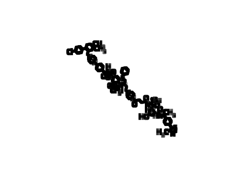 Cc1ncsc1-c1ccc([C@H](C)NC(=O)[C@@H]2C[C@@H](O)CN2C(=O)[C@@H](NC(=O)CCC(=O)N2CCN(CC[C@H](CSc3ccccc3)Nc3ccc(S(=O)(=O)NC(=O)c4ccc(N5CCN(CC6=C(c7ccc(Cl)cc7)CCC(C)(C)C6)CC5)cc4)cc3S(=O)(=O)C(F)(F)F)CC2)C(C)(C)C)cc1